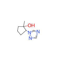 CC1(O)CCCC1n1cncn1